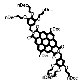 CCCCCCCCCCCCOc1cc(Cn2c(=O)c3cc4cc(CCCCCCCCCC)c5cc6c(=O)n(Cc7cc(OCCCCCCCCCCCC)c(OCCCCCCCCCCCC)c(OCCCCCCCCCCCC)c7)c(=O)c7cc8cc(CCCCCCCCCC)c9cc(c2=O)c3c2c4c5c(c76)c8c92)cc(OCCCCCCCCCCCC)c1OCCCCCCCCCCCC